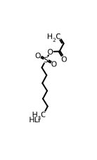 C=CC(=O)OS(=O)(=O)CCCCCCC.[LiH]